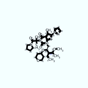 C=C/C(=C(\C)OC)[C@H](Cn1c(=O)n(C(C)(C)C(=O)N2CCCC2)c(=O)c2c(C)c(-n3cccn3)sc21)OC1CCOCC1